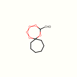 O=CC1OOOOC2(CCCCCC2)O1